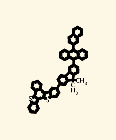 CC1(C)c2ccc(-c3c4ccccc4c(-c4ccc5ccccc5c4)c4ccccc34)cc2-c2ccc(-c3ccc4sc5c(c4c3)c3ccccc3c3sc4ccccc4c35)cc21